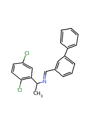 CC(/N=C/c1cccc(-c2ccccc2)c1)c1cc(Cl)ccc1Cl